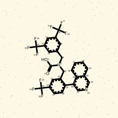 O=C(O)N(Cc1cc(C(F)(F)F)cc(C(F)(F)F)c1)Cc1cc(C(F)(F)F)ccc1-c1cncc2ccccc12